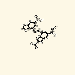 O=C([O-])c1cc2cc([N+](=O)[O-])cc(Br)c2o1.O=[N+]([O-])c1cc(Br)c2occc2c1.[K+]